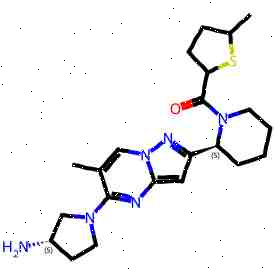 Cc1cn2nc([C@@H]3CCCCN3C(=O)C3CCC(C)S3)cc2nc1N1CC[C@H](N)C1